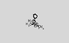 [CH2]N(C[Si](C)(OCC)OCC)C1CCCCC1